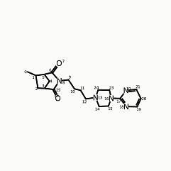 CC1CC2CC1C(=O)N(CCCCN1CCN(c3ncccn3)CC1)C2=O